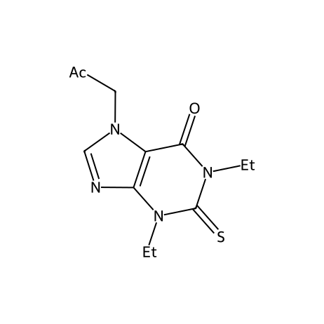 CCn1c(=O)c2c(ncn2CC(C)=O)n(CC)c1=S